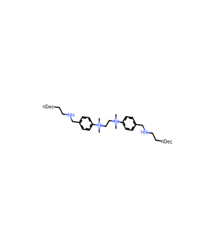 CCCCCCCCCCCCNCc1ccc([N+](C)(C)CC[N+](C)(C)c2ccc(CNCCCCCCCCCCCC)cc2)cc1